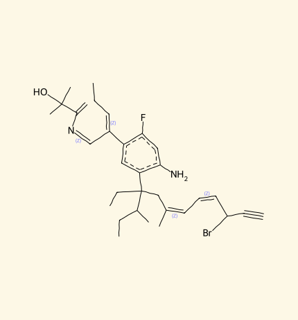 C#CC(Br)/C=C\C=C(\C)CC(CC)(c1cc(C(/C=N\C(=C)C(C)(C)O)=C/CC)c(F)cc1N)C(C)CC